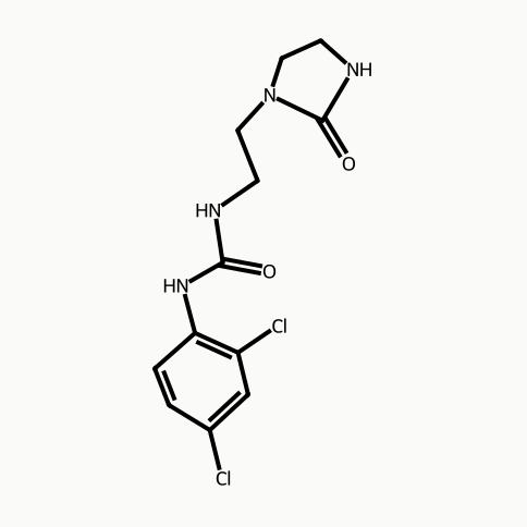 O=C(NCCN1CCNC1=O)Nc1ccc(Cl)cc1Cl